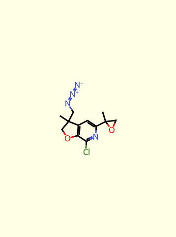 CC1(CN=[N+]=[N-])COc2c1cc(C1(C)CO1)nc2Cl